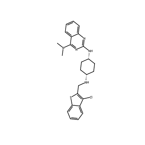 CN(C)c1nc(N[C@H]2CC[C@@H](NCc3sc4ccccc4c3Cl)CC2)nc2ccccc12